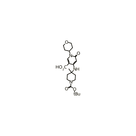 CC1(Nc2cc(=O)n(C3CCOCC3)cc2C(=O)O)CCN(C(=O)OC(C)(C)C)CC1